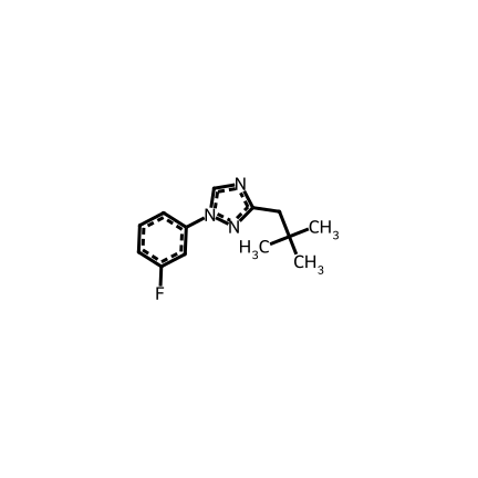 CC(C)(C)Cc1ncn(-c2cccc(F)c2)n1